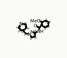 COc1ccccc1C(=O)Nc1ccn(Cc2ccncc2)n1